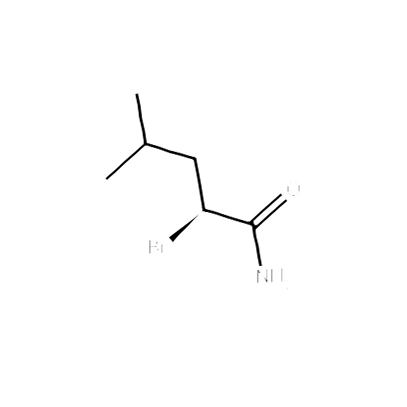 CC(C)C[C@H](Br)C(N)=O